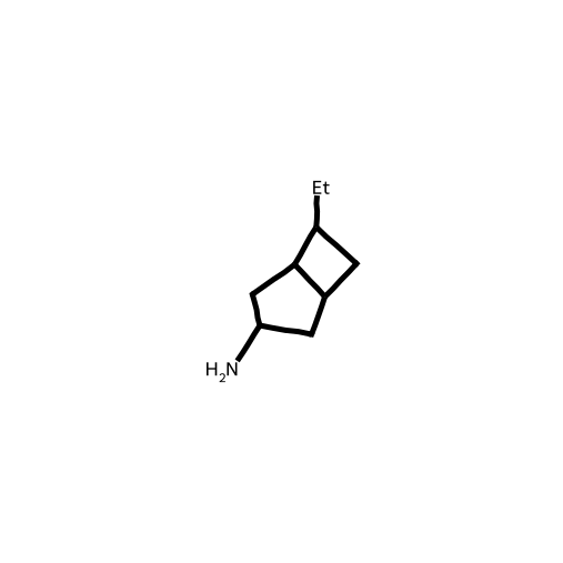 CCC1CC2CC(N)CC12